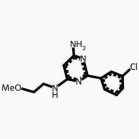 COCCNc1cc(N)nc(-c2cccc(Cl)c2)n1